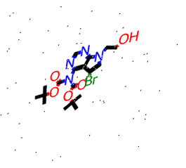 CC(C)(C)OC(=O)N(C(=O)OC(C)(C)C)c1ncnc2c1c(Br)cn2CCO